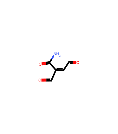 NC(=O)C(C=O)=CC=O